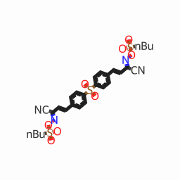 CCCCS(=O)(=O)ON=C(C#N)C=Cc1ccc(S(=O)(=O)c2ccc(C=CC(C#N)=NOS(=O)(=O)CCCC)cc2)cc1